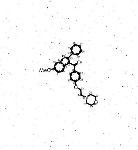 COc1ccc2c(C(=O)c3ccc(OCCN4CCOCC4)cc3)c(-c3ccccc3)sc2c1